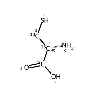 N[13C@@H]([13CH2]S)[13C](=O)O